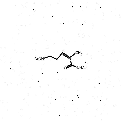 CC(=O)NCCC=C(C)C(=O)NC(C)=O